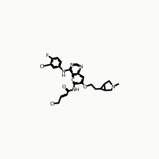 CN1CC2C(CCOc3cc4ncnc(Nc5ccc(F)c(Cl)c5)c4cc3NC(=O)/C=C/CCl)C2C1